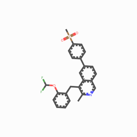 Cc1ncc2ccc(-c3ccc(S(C)(=O)=O)cc3)cc2c1Cc1ccccc1OC(F)F